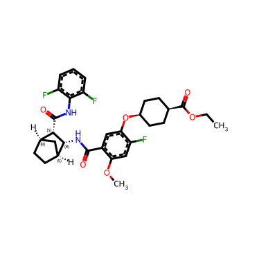 CCOC(=O)[C@H]1CC[C@@H](Oc2cc(C(=O)N[C@@H]3[C@H]4CC[C@H](C4)[C@@H]3C(=O)Nc3c(F)cccc3F)c(OC)cc2F)CC1